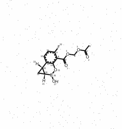 CC(=O)OCOC(=O)c1c(F)ccc2c1OB(O)[C@@H]1C[C@H]21